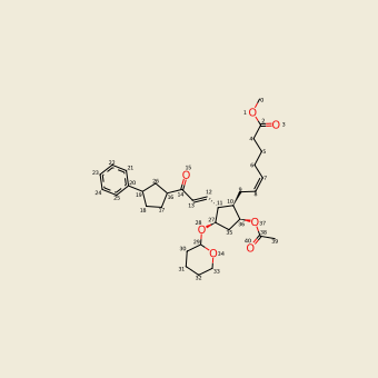 COC(=O)CCC/C=C\C[C@@H]1[C@@H](/C=C/C(=O)C2CCC(c3ccccc3)C2)[C@H](OC2CCCCO2)C[C@@H]1OC(C)=O